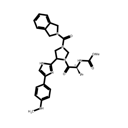 CBc1ccc(-c2c[nH]c(C3CN(C(=O)N4Cc5ccccc5C4)CN3C(=O)[C@@H](NC(=O)OC)C(C)C)n2)cc1